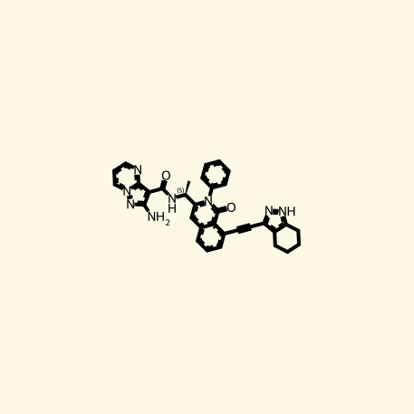 C[C@H](NC(=O)c1c(N)nn2cccnc12)c1cc2cccc(C#Cc3n[nH]c4c3CCCC4)c2c(=O)n1-c1ccccc1